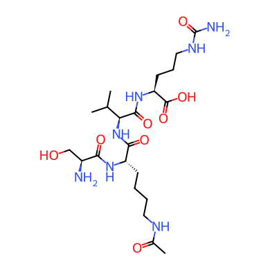 CC(=O)NCCCC[C@H](NC(=O)[C@@H](N)CO)C(=O)N[C@H](C(=O)N[C@@H](CCCNC(N)=O)C(=O)O)C(C)C